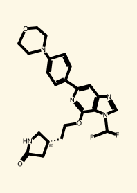 O=C1C[C@@H](CCOc2nc(-c3ccc(N4CCOCC4)cc3)cc3ncn(C(F)F)c23)CN1